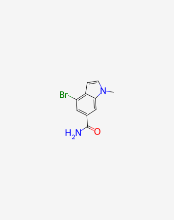 Cn1ccc2c(Br)cc(C(N)=O)cc21